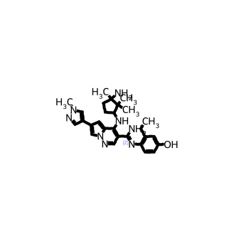 CCc1cc(O)ccc1/N=C(\N)c1cnn2cc(-c3cnn(C)c3)cc2c1NC1CCC(C)(N)C1(C)C